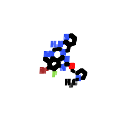 CN1CCC[C@H]1COc1nc2c3c(n1)c(F)c(Br)c1cnn(c13)CCN2Cc1cccnc1N